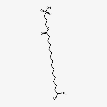 CC(C)CCCCCCCCCCCCCCC(=O)OCCCS(=O)(=O)O